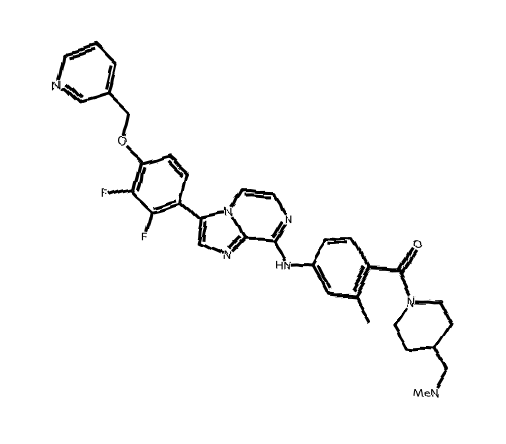 CNCC1CCN(C(=O)c2ccc(Nc3nccn4c(-c5ccc(OCc6cccnc6)c(F)c5F)cnc34)cc2C)CC1